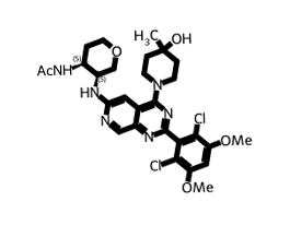 COc1cc(OC)c(Cl)c(-c2nc(N3CCC(C)(O)CC3)c3cc(N[C@@H]4COCC[C@@H]4NC(C)=O)ncc3n2)c1Cl